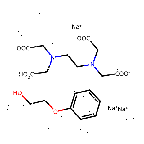 O=C([O-])CN(CCN(CC(=O)[O-])CC(=O)O)CC(=O)[O-].OCCOc1ccccc1.[Na+].[Na+].[Na+]